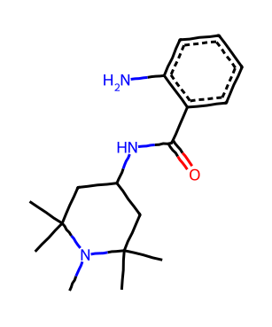 CN1C(C)(C)CC(NC(=O)c2ccccc2N)CC1(C)C